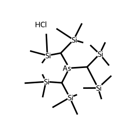 C[Si](C)(C)C([As](C([Si](C)(C)C)[Si](C)(C)C)C([Si](C)(C)C)[Si](C)(C)C)[Si](C)(C)C.Cl